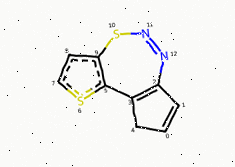 C1=CC2=C(C1)c1sccc1SN=N2